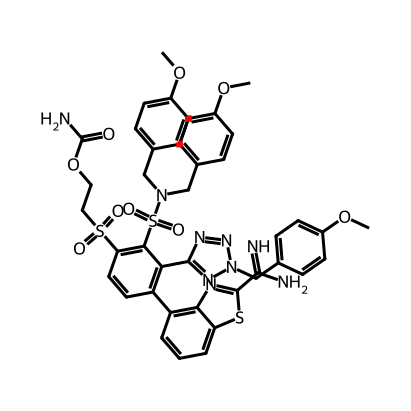 COc1ccc(CN(Cc2ccc(OC)cc2)S(=O)(=O)c2c(S(=O)(=O)CCOC(N)=O)ccc(-c3cccc4sc(C(=N)N)nc34)c2-c2nnn(Cc3ccc(OC)cc3)n2)cc1